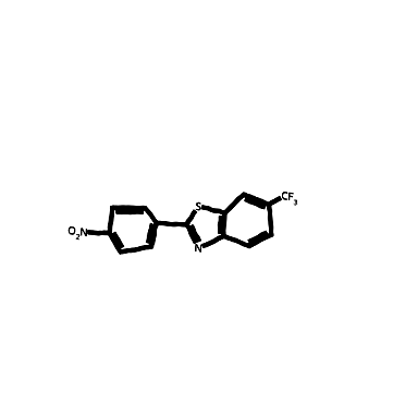 O=[N+]([O-])c1ccc(-c2nc3ccc(C(F)(F)F)cc3s2)cc1